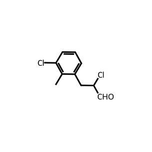 Cc1c(Cl)cccc1CC(Cl)C=O